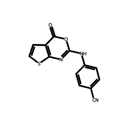 N#Cc1ccc(Nc2nc3sccc3c(=O)o2)cc1